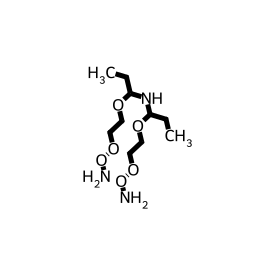 CCC(NC(CC)OCCOON)OCCOON